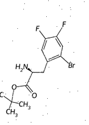 CC(C)(C)OC(=O)[C@@H](N)Cc1cc(F)c(F)cc1Br